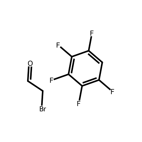 Fc1cc(F)c(F)c(F)c1F.O=CCBr